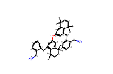 CC1(C)CCC(C)(C)c2c(Cc3ccccc3CN)cc(Oc3cc(Cc4ccccc4CN)c4c(c3)C(C)(C)CCC4(C)C)cc21